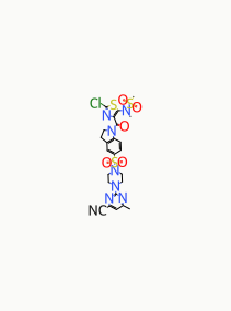 Cc1cc(C#N)nc(N2CCN(S(=O)(=O)c3ccc4c(c3)CCN4C(=O)c3nc(Cl)sc3N(C)S(C)(=O)=O)CC2)n1